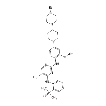 CCN1CCN(C2CCN(c3ccc(Nc4ncc(C)c(Nc5ccccc5P(C)(C)=O)n4)c(OC(C)C)c3)CC2)CC1